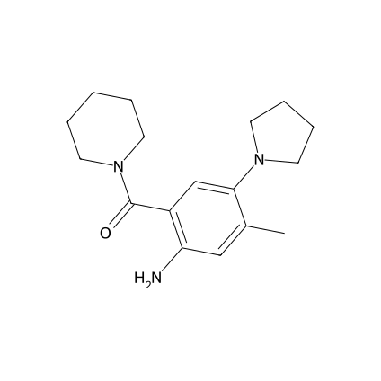 Cc1cc(N)c(C(=O)N2CCCCC2)cc1N1CCCC1